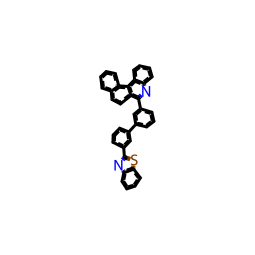 c1cc(-c2cccc(-c3nc4ccccc4c4c3ccc3ccccc34)c2)cc(-c2nc3ccccc3s2)c1